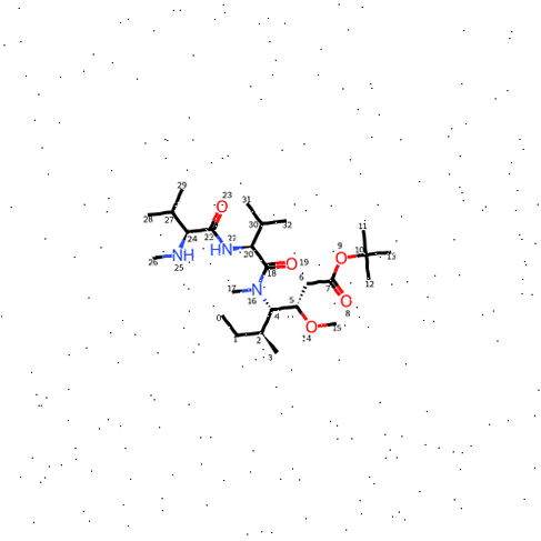 CC[C@H](C)[C@@H]([C@H](CC(=O)OC(C)(C)C)OC)N(C)C(=O)[C@@H](NC(=O)[C@@H](NC)C(C)C)C(C)C